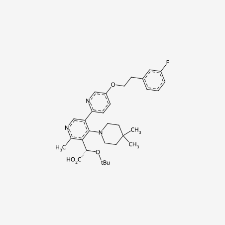 Cc1ncc(-c2ccc(OCCc3cccc(F)c3)cn2)c(N2CCC(C)(C)CC2)c1[C@H](OC(C)(C)C)C(=O)O